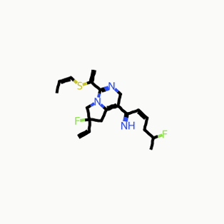 C=CC1(F)CC2=C(C(=N)/C=C\CC(C)F)CN=C(C(=C)S/C=C\C)N2C1